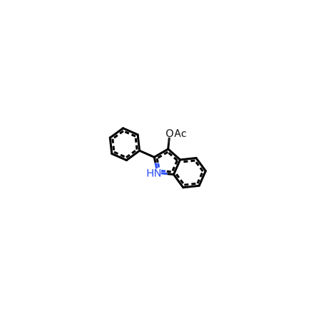 CC(=O)Oc1c(-c2ccccc2)[nH]c2ccccc12